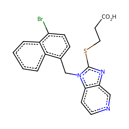 O=C(O)CCSc1nc2cnccc2n1Cc1ccc(Br)c2ccccc12